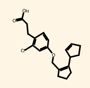 O=C(O)CCc1ccc(OCC2=C(C3C=CCC3)CCC2)cc1Cl